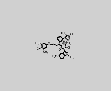 Cc1cc(OCCCc2c3n(c4c(-c5c(C)nn(C)c5C)cccc24)[C@H](C)C(Cl)N(c2cn(C)c4ccc(C(F)(F)F)cc24)C3=O)cc(C)c1Cl